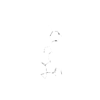 O=C(Nc1ccn(-c2cncc(F)c2)n1)C1(c2cccs2)CC1